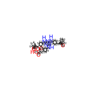 CC12CCC(/C(=C\c3ccc(Nc4nc(Nc5ccc(C=C(C(=O)O)C(=O)O)cc5)nc(Nc5ccc(/C=C6/C(=O)C7(C)CCC6C7(C)C)cc5)n4)cc3)C1=O)C2(C)C